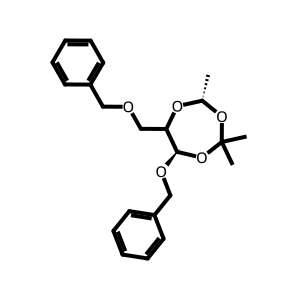 C[C@H]1OC(COCc2ccccc2)[C@H](OCc2ccccc2)OC(C)(C)O1